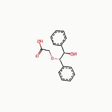 O=C(O)CO[C@@H](c1ccccc1)[C@H](O)c1ccccc1